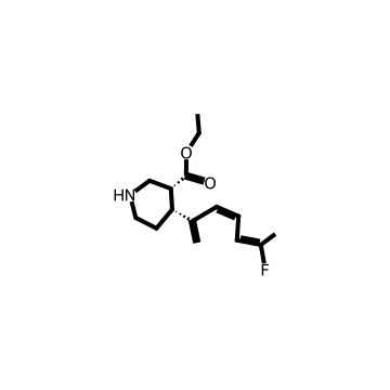 C=C(/C=C\C=C(/C)F)[C@@H]1CCNC[C@@H]1C(=O)OCC